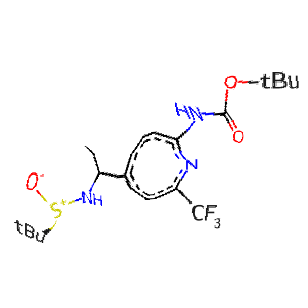 CC(N[S@+]([O-])C(C)(C)C)c1cc(NC(=O)OC(C)(C)C)nc(C(F)(F)F)c1